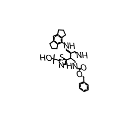 CC(C)(O)c1ncc(C(CNC(=O)OCc2ccccc2)/C(C=N)=C/Nc2c3c(cc4c2CCC4)CCC3)s1